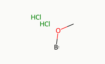 Cl.Cl.[B]OC